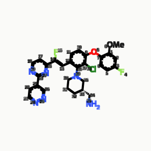 COc1cc(F)ccc1Oc1ccc(/C=C(\F)c2ccnc(-c3ccnnc3)n2)c(N2CCC[C@@H](CN)C2)c1Cl